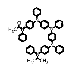 CC(C)N(c1ccccc1)c1ccc(N(c2ccccc2)c2ccc(N(c3ccccc3)c3ccc(N(c4ccccc4)c4ccc(N(c5ccccc5)C(C)C)cc4)cc3)cc2)cc1